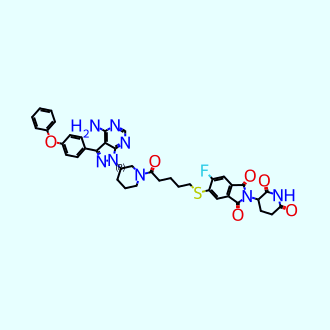 Nc1ncnc2c1c(-c1ccc(Oc3ccccc3)cc1)nn2[C@@H]1CCCN(C(=O)CCCCSc2cc3c(cc2F)C(=O)N(C2CCC(=O)NC2=O)C3=O)C1